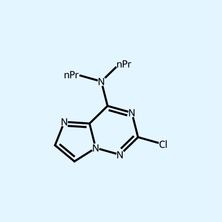 CCCN(CCC)c1nc(Cl)nn2ccnc12